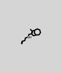 C=CCCNCC1=C(C)C2CCCCC(C1)C2